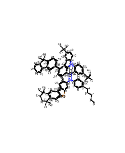 CCCCCc1ccc(Nc2cc3sc4cc5c(cc4c3cc2-c2cc(-c3ccc4c(c3)-c3ccccc3C4(C)C)c3c4cc(C(C)(C)C)ccc4n4c3c2Bc2cc(C(C)(C)C)ccc2-4)C(C)(C)CCC5(C)C)cc1